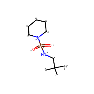 CC(C)C(C)(C)CNS(=O)(=O)N1CC[CH]CC1